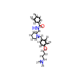 Cc1ccc(C(=O)NCC2CCCCN2Cc2ccc(OCCCCN(C)C)c(C)c2C)cc1C